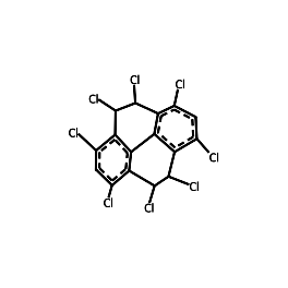 Clc1cc(Cl)c2c3c1C(Cl)C(Cl)c1c(Cl)cc(Cl)c(c1-3)C(Cl)C2Cl